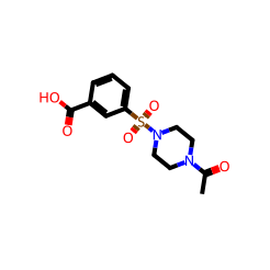 CC(=O)N1CCN(S(=O)(=O)c2cccc(C(=O)O)c2)CC1